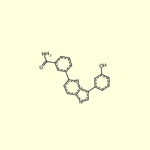 NC(=O)c1cccc(-c2ccc3ncc(-c4cccc(O)c4)n3n2)c1